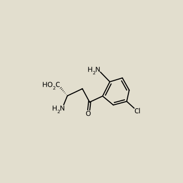 Nc1ccc(Cl)cc1C(=O)C[C@H](N)C(=O)O